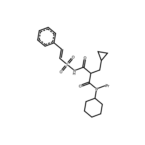 CC(C)N(C(=O)C(CC1CC1)C(=O)NS(=O)(=O)C=Cc1ccccc1)C1CCCCC1